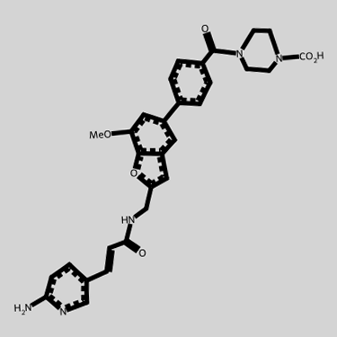 COc1cc(-c2ccc(C(=O)N3CCN(C(=O)O)CC3)cc2)cc2cc(CNC(=O)C=Cc3ccc(N)nc3)oc12